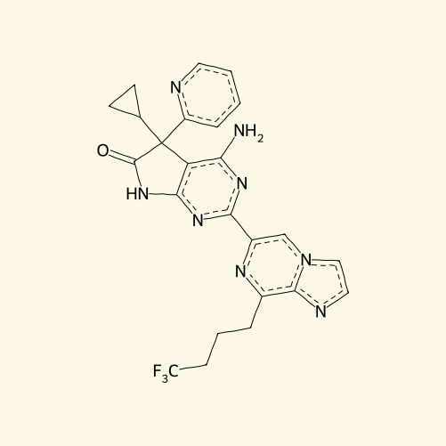 Nc1nc(-c2cn3ccnc3c(CCCC(F)(F)F)n2)nc2c1C(c1ccccn1)(C1CC1)C(=O)N2